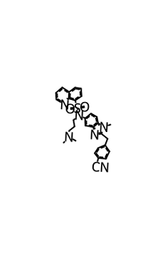 CN(C)CCCN(c1ccc2c(c1)nc(Cc1ccc(C#N)cc1)n2C)S(=O)(=O)c1cccc2cccnc12